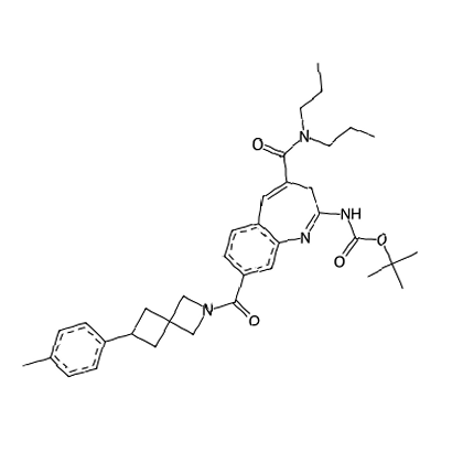 CCCN(CCC)C(=O)C1=Cc2ccc(C(=O)N3CC4(CC(c5ccc(C)cc5)C4)C3)cc2N=C(NC(=O)OC(C)(C)C)C1